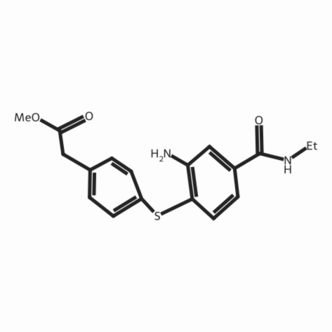 CCNC(=O)c1ccc(Sc2ccc(CC(=O)OC)cc2)c(N)c1